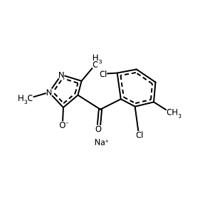 Cc1ccc(Cl)c(C(=O)c2c(C)nn(C)c2[O-])c1Cl.[Na+]